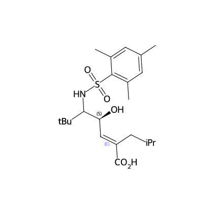 Cc1cc(C)c(S(=O)(=O)NC([C@@H](O)/C=C(\CC(C)C)C(=O)O)C(C)(C)C)c(C)c1